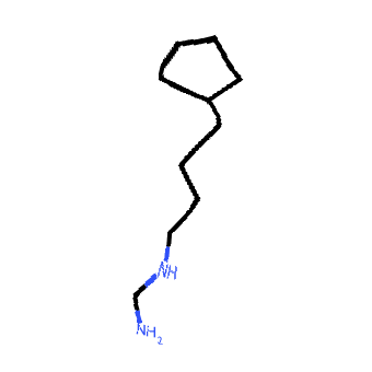 NCNCCCCC1CCCC1